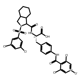 O=C(Nc1ccc(C[C@H](NC(=O)C2C3CCCCC3CN2S(=O)(=O)c2cc(Cl)cc(Cl)c2)C(=O)O)cc1)c1c(Cl)c[n+]([O-])cc1Cl